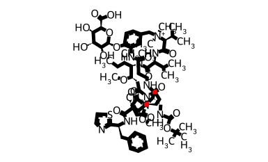 CC[C@H](C)[C@@H]([C@H](CC(=O)N1CCC[C@H]1[C@H](OC)[C@@H](C)C(=O)N[C@@H](Cc1ccccc1)c1nccs1)OC)N(C)C(=O)[C@@H](NC(=O)[C@H](C(C)C)[N+](C)(C)Cc1ccc(O[C@@H]2O[C@H](C(=O)O)[C@@H](O)[C@@H](O)[C@@H]2O)c(NC(=O)CCNC(=O)[C@H](CNC(=O)OC(C)(C)C)N2C(=O)C=CC2=O)c1)C(C)C